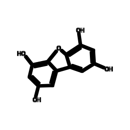 Oc1cc(O)c2oc3c(O)cc(O)cc3c2c1